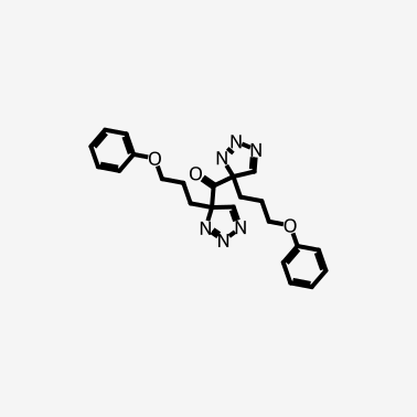 O=C(C1(CCCOc2ccccc2)C=NN=N1)C1(CCCOc2ccccc2)C=NN=N1